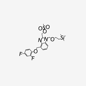 C[Si](C)(C)CCOCn1c(COS(C)(=O)=O)nc2c(COc3ccc(F)cc3F)cccc21